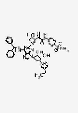 CCc1cnn([C@H]2C[C@@H](n3cnc4c(NCC(c5ccccc5)c5ccccc5)nc(N5CCC(NC(=O)Nc6ccc(S(N)(=O)=O)cc6)C5)nc43)[C@H](O)[C@@H]2O)c1.Cl